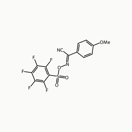 COc1ccc(C(C#N)=NOS(=O)(=O)c2c(F)c(F)c(F)c(F)c2F)cc1